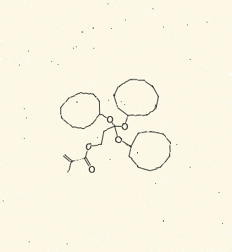 C=C(C)C(=O)OCCC(OC1CCCCCCCCC1)(OC1CCCCCCCCC1)OC1CCCCCCCCC1